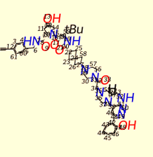 C#Cc1ccc(CNC(=O)[C@@H]2C[C@@H](O)CN2C(=O)[C@@H](NC(=O)[C@H]2CC3(C2)C[C@H](N2CCN(C(=O)CN4CCN5c6cc(-c7ccccc7O)nnc6NC[C@H]5C4)CC2)C3)C(C)(C)C)cc1